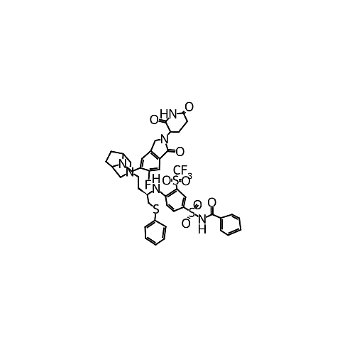 O=C1CCC(N2Cc3cc(CN4C5CCC4CN(CC[C@H](CSc4ccccc4)Nc4ccc(S(=O)(=O)NC(=O)c6ccccc6)cc4S(=O)(=O)C(F)(F)F)C5)c(F)cc3C2=O)C(=O)N1